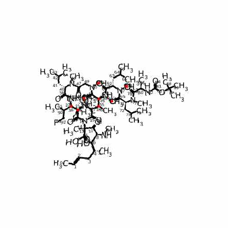 C/C=C/C[C@@H](C)[C@@H](O)[C@H](NC)C(=O)[C@](C)(C(=O)O)N(C(=O)C(N)CC)C(=O)[C@H](CC(C)C)N(C)C(=O)[C@@H](NC(=O)[C@H](CC(C)C)N(C)C(=O)CN(C)C(=O)[C@H](C(C)C)N(C)C(=O)[C@H](CC(C)C)N(C)C(=O)[C@H](CC(C)C)N(C)C(=O)[C@@H](C)NC(=O)OC(C)(C)C)C(C)CF